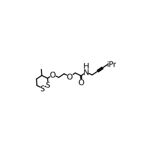 CC(C)C#CCNC(=O)COCCOC1SSCCC1C